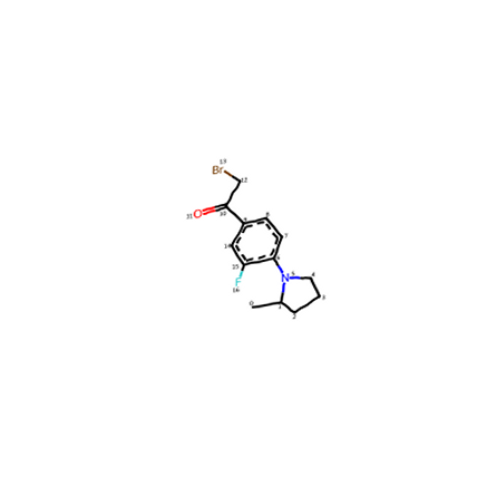 CC1CCCN1c1ccc(C(=O)CBr)cc1F